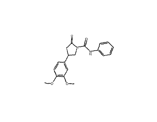 COc1ccc(C2CC(=O)N(C(=O)Nc3ccccc3)C2)cc1OC